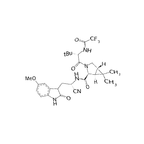 COc1ccc2c(c1)C(C[C@@H](C#N)NC(=O)[C@@H]1[C@H]3[C@H](CN1C(=O)[C@@H](NC(=O)C(F)(F)F)C(C)(C)C)C3(C)C)C(=O)N2